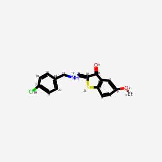 CCOc1ccc2c(c1)C(=O)C(=CNCc1ccc(Cl)cc1)S2